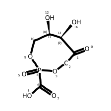 O=C1COP(=O)(C(=O)O)OC[C@@H](O)[C@H]1O